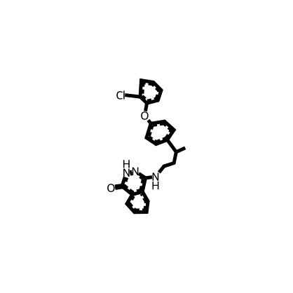 CC(CCNc1n[nH]c(=O)c2ccccc12)c1ccc(Oc2ccccc2Cl)cc1